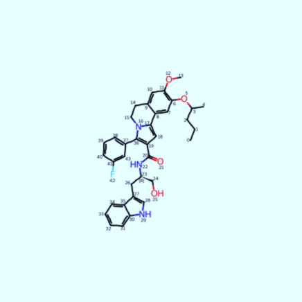 CCCC(C)Oc1cc2c(cc1OC)CCn1c-2cc(C(=O)N[C@@H](CO)Cc2c[nH]c3ccccc23)c1-c1cccc(F)c1